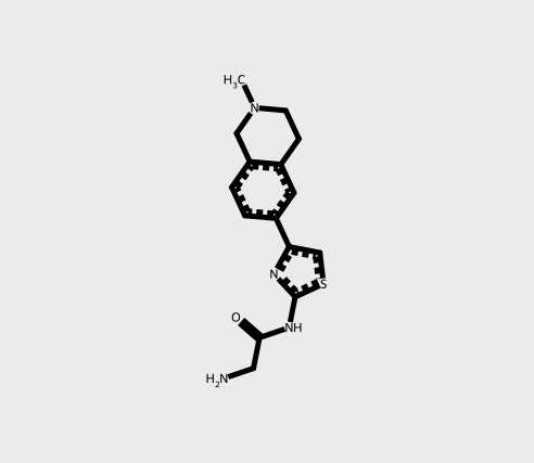 CN1CCc2cc(-c3csc(NC(=O)CN)n3)ccc2C1